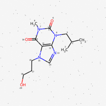 CC(C)Cn1c(=O)n(C)c(=O)c2c1ncn2CCCO